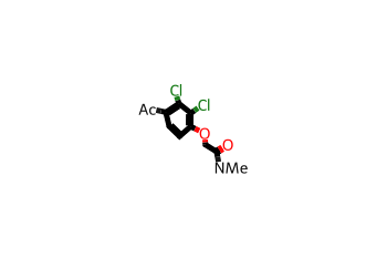 CNC(=O)COc1ccc(C(C)=O)c(Cl)c1Cl